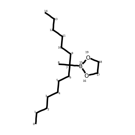 CCCCCCCC(C)(CCCCCC)B1OCCO1